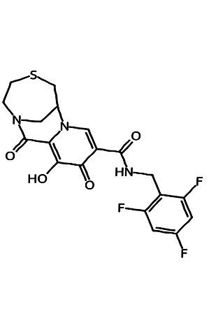 O=C(NCc1c(F)cc(F)cc1F)c1cn2c(c(O)c1=O)C(=O)N1CCSCC2C1